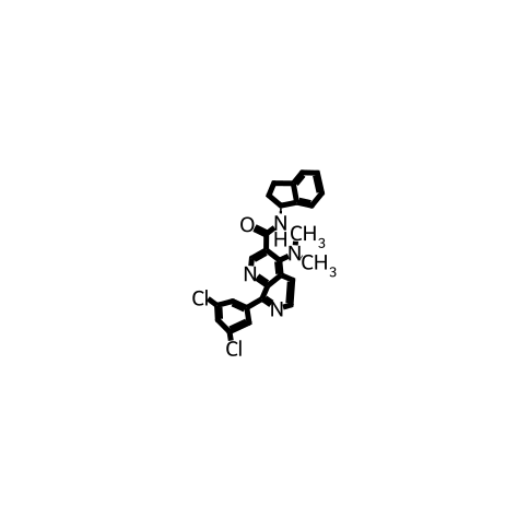 CN(C)c1c(C(=O)N[C@@H]2CCc3ccccc32)cnc2c(-c3cc(Cl)cc(Cl)c3)nccc12